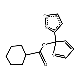 O=C(OC1(c2ccon2)C=CC=N1)C1CCCCC1